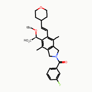 Cc1c(/C=C/C2CCOCC2)c([C@H](OC(C)(C)C)C(=O)O)c(C)c2c1CN(C(=O)c1cccc(F)c1)C2